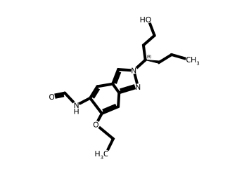 CCC[C@H](CCO)n1cc2cc(NC=O)c(OCC)cc2n1